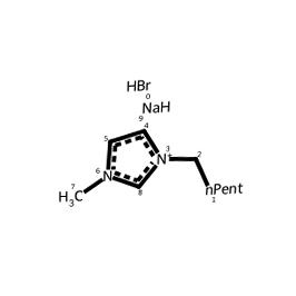 Br.CCCCCC[n+]1ccn(C)c1.[NaH]